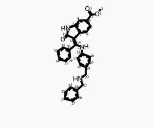 COC(=O)c1ccc2c(c1)NC(=O)C2=C(Nc1ccc(CNCc2ccccc2)cc1)c1ccccc1